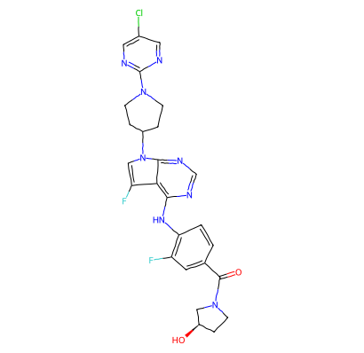 O=C(c1ccc(Nc2ncnc3c2c(F)cn3C2CCN(c3ncc(Cl)cn3)CC2)c(F)c1)N1CC[C@@H](O)C1